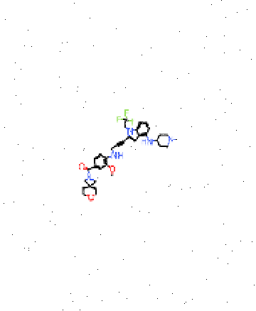 COc1cc(C(=O)N2CC3(CCOCC3)C2)ccc1NCC#Cc1cc2c(NC3CCN(C)CC3)cccc2n1CC(F)(F)F